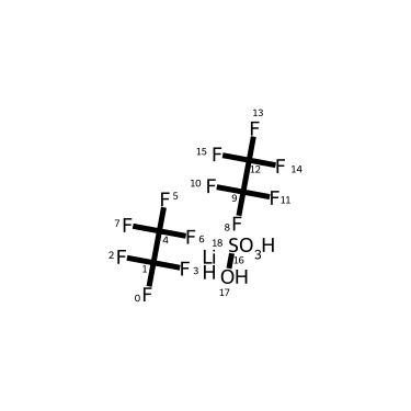 FC(F)(F)C(F)(F)F.FC(F)(F)C(F)(F)F.O=S(=O)(O)O.[LiH]